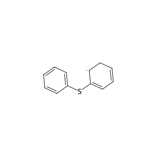 [CH]1CC=CC=C1Sc1ccccc1